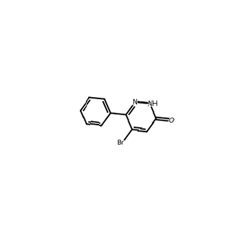 O=c1cc(Br)c(-c2ccccc2)n[nH]1